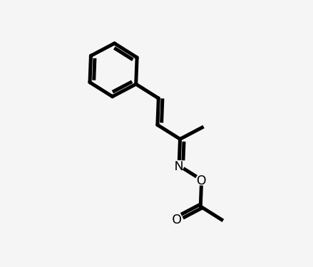 CC(=O)O/N=C(C)/C=C/c1ccccc1